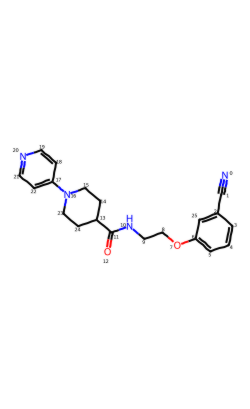 N#Cc1cccc(OCCNC(=O)C2CCN(c3ccncc3)CC2)c1